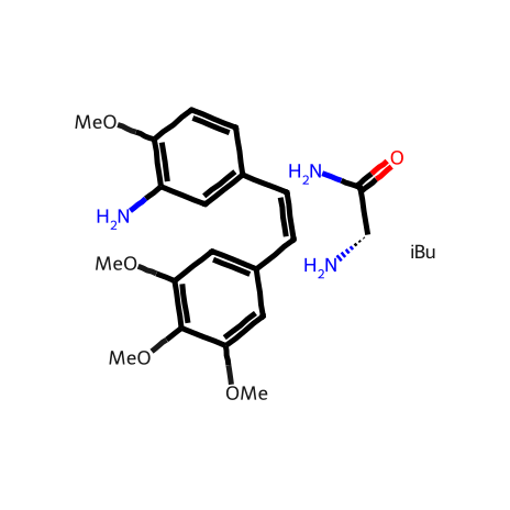 CC[C@H](C)[C@H](N)C(N)=O.COc1ccc(/C=C\c2cc(OC)c(OC)c(OC)c2)cc1N